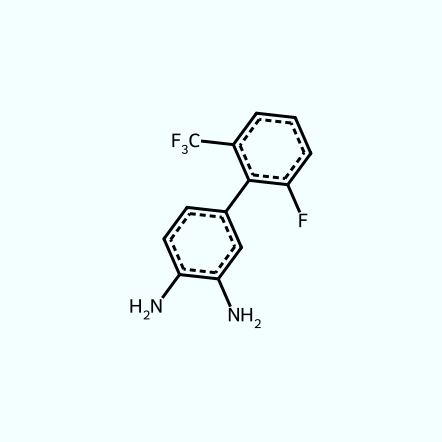 Nc1ccc(-c2c(F)cccc2C(F)(F)F)cc1N